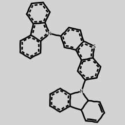 C1=CC2c3ccccc3N(c3ccc4sc5ccc(-n6c7ccccc7c7ccccc76)cc5c4c3)C2C=C1